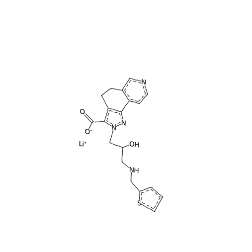 O=C([O-])c1c2c(nn1CC(O)CNCc1cccs1)-c1ccncc1CC2.[Li+]